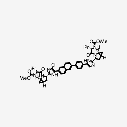 COC(=O)N[C@H](C(=O)N1[C@@H]2C[C@@H]2C[C@H]1c1ncc(-c2ccc(-c3ccc4cc(-c5[nH]c([C@@H]6C[C@H]7C[C@H]7N6C(=O)[C@@H](NC(=O)OC)C(C)C)nc5Cl)ccc4c3)cc2)[nH]1)C(C)C